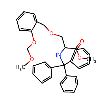 COCOc1ccccc1COCC(NC(c1ccccc1)(c1ccccc1)c1ccccc1)C(=O)OC